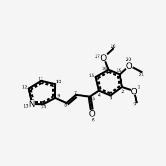 COc1cc(C(=O)C=Cc2cccnc2)cc(OC)c1OC